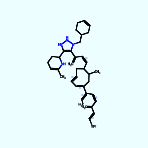 C=C(\C=C/C(=C\C)C1=C/C=C/CC(/C=C\C(=C)C2=C(C3CCC=C(C)N3)NNN2CC2CC=CCC2)C(C)C\1)/C=C/CCC